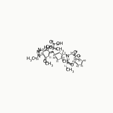 CC[C@@H]1CN(Cc2cc([C@H](c3cc(OC)c4c(nnn4CC)c3C)C(C)(C)C(=O)O)ccc2C)CS(=O)(=O)c2ccccc2O1